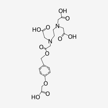 O=C(O)COc1ccc(COC(=O)CN(CCN(CC(=O)O)CC(=O)O)CC(=O)O)cc1